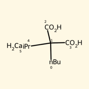 CCCCC(C(=O)O)(C(=O)O)C(C)C.[CaH2]